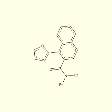 CCN(CC)C(=O)c1ccc2ccccc2c1-c1ccco1